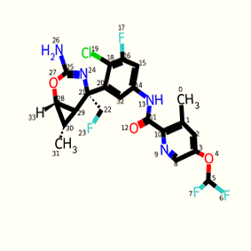 Cc1cc(OC(F)F)cnc1C(=O)Nc1cc(F)c(Cl)c([C@]2(CF)N=C(N)O[C@@H]3C2[C@@H]3C)c1